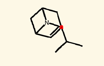 CC(C)CN1C2C=CCC1C2